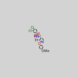 CCc1c(C(C)NS(=O)(=O)c2ccc(Cl)c(Cl)c2)ccnc1Oc1ccc(OC)cc1